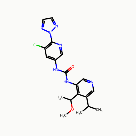 COC(C)c1c(NC(=O)Nc2cnc(-n3nccn3)c(Cl)c2)cncc1C(C)C